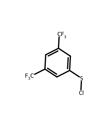 FC(F)(F)c1cc(SCl)cc(C(F)(F)F)c1